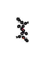 CC(C)c1ccc(N(C2=CC3C(C=C2)c2c(ccc4c2ccc2c4c4ccc(N(c5ccc(-c6cc7ccccc7o6)cc5)c5ccc(C(C)C)cc5)cc4n2-c2ccccc2)N3c2ccccc2)c2ccc(-c3cc4ccccc4o3)cc2)cc1